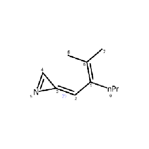 CCCC(/C=C1C=N\1)=C(C)C